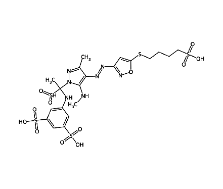 CNc1c(N=Nc2cc(SCCCCS(=O)(=O)O)on2)c(C)nn1C(C)(Nc1cc(S(=O)(=O)O)cc(S(=O)(=O)O)c1)[SH](=O)=O